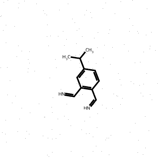 CC(C)c1ccc(C=N)c(C=N)c1